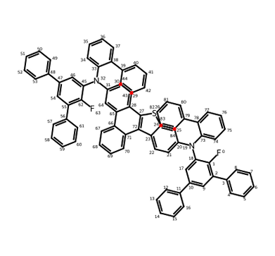 Fc1c(-c2ccccc2)cc(-c2ccccc2)cc1N(c1ccc2c(c1)sc1c3ccc(N(c4ccccc4-c4ccccc4)c4cc(-c5ccccc5)cc(-c5ccccc5)c4F)cc3c3ccccc3c21)c1ccccc1-c1ccccc1